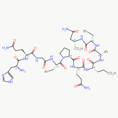 CC(C)C[C@H](NC(=O)[C@@H](NC(=O)[C@H](CCC(=O)O)NC(=O)[C@H](CCC(N)=O)NC(=O)[C@@H]1CCCN1C(=O)[C@H](CC(C)C)NC(=O)CNC(=O)[C@H](CCC(N)=O)NC(=O)[C@@H](N)Cc1c[nH]cn1)C(C)C)C(=O)N[C@@H](CC(N)=O)C(=O)O